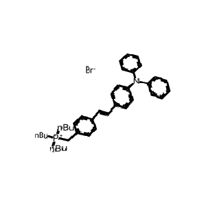 CCCC[P+](CCCC)(CCCC)Cc1ccc(C=Cc2ccc(N(c3ccccc3)c3ccccc3)cc2)cc1.[Br-]